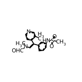 Cc1cnccc1/C(=C\N(C)C=O)c1cccc(NS(C)(=O)=O)c1